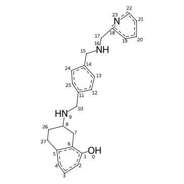 Oc1cccc2c1CC(NCc1ccc(CNCc3ccccn3)cc1)CC2